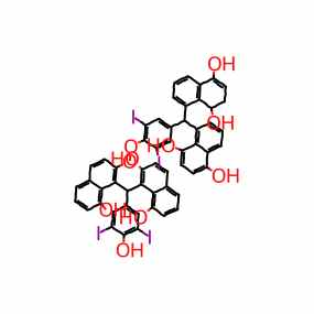 OC1=CCC(O)c2c1cccc2C(c1cc(I)c(OOc2ccc3cccc(O)c3c2C(c2cc(I)c(O)c(I)c2)c2c(O)ccc3cccc(O)c23)c(I)c1)c1cccc2c(O)ccc(O)c12